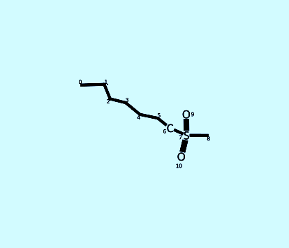 C[CH]CCCCCS(C)(=O)=O